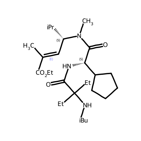 CCOC(=O)/C(C)=C/[C@H](C(C)C)N(C)C(=O)[C@@H](NC(=O)C(CC)(CC)NC(C)CC)C1CCCC1